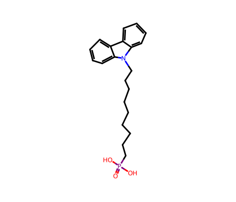 O=P(O)(O)CCCCCCCCCn1c2ccccc2c2ccccc21